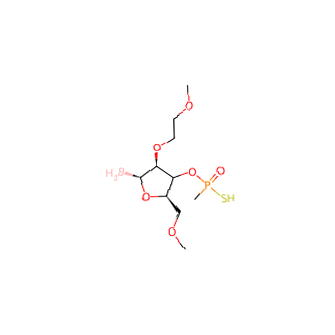 B[C@@H]1O[C@H](COC)C(OP(C)(=O)S)[C@@H]1OCCOC